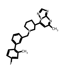 Cc1cc(C2CCCN(Cc3cccc(-c4ccc(F)cc4C)c3)C2)n2ncnc2n1